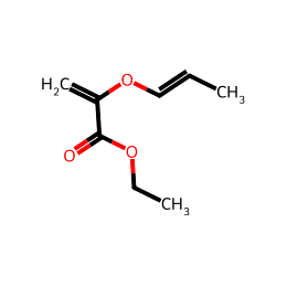 C=C(OC=CC)C(=O)OCC